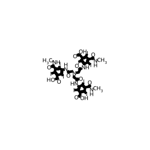 CNC(=O)c1c(I)c(NC(=O)CN(CC(=O)Nc2c(I)c(C(=O)O)c(I)c(C(=O)NC)c2I)CC(=O)Nc2c(I)c(C(=O)O)c(I)c(C(=O)NC)c2I)c(I)c(C(=O)O)c1I